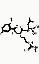 CNC(=N)NCCC[C@H](NC(=O)c1cc(F)ccc1OC)C(=O)N[C@@H](CC(C)C)B(O)O